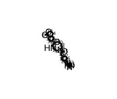 O=C1OCCc2cc([C@@H]3CNCCN(C(=O)Cc4ccc(-n5cnnn5)cc4)CCCO3)ccc21